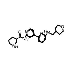 O=C(Nc1cc(-c2cccc(NCC3CCOCC3)n2)ccn1)[C@@H]1CCCNC1